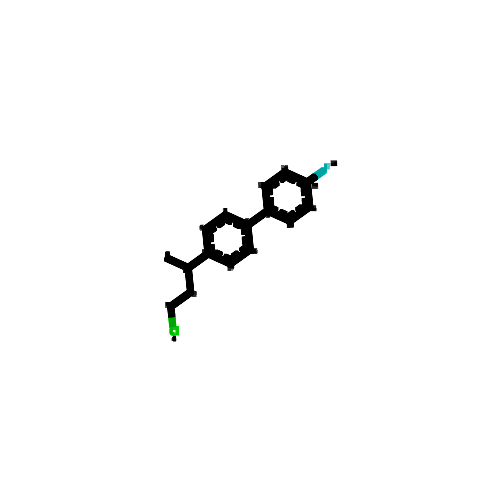 CC(CCCl)c1ccc(-c2ccc(F)cc2)cc1